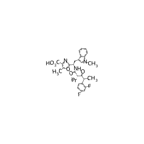 Cc1oc([C@@H](Cc2cn(C)c3ccccc23)NC(=O)[C@H](C(=O)C(C)c2ccc(F)cc2F)C(C)C)nc1C(=O)O